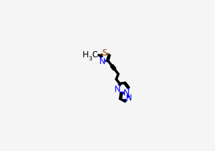 Cc1nc(C#CCCc2ccn3nccc3n2)cs1